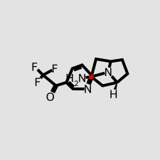 NC1CC2CC[C@H](C1)N2c1ccc(C(=O)C(F)(F)F)cn1